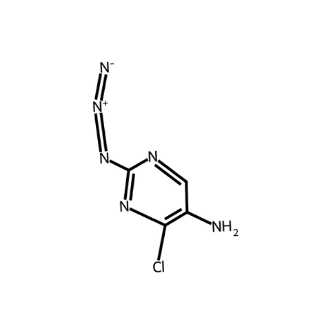 [N-]=[N+]=Nc1ncc(N)c(Cl)n1